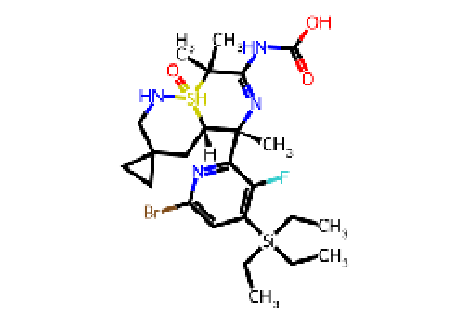 CC[Si](CC)(CC)c1cc(Br)nc([C@@]2(C)N=C(NC(=O)O)C(C)(C)[SH]3(=O)NCC4(CC4)C[C@@H]23)c1F